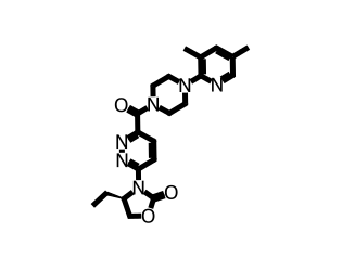 CC[C@@H]1COC(=O)N1c1ccc(C(=O)N2CCN(c3ncc(C)cc3C)CC2)nn1